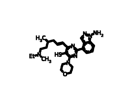 CCN(C)CCC(C)C/C=C/c1nc(-c2cccc3c2cnn3N)nc(N2CCOCC2)c1S